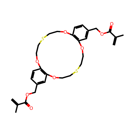 C=C(C)C(=O)OCc1ccc2c(c1)OCCSCCOc1cc(COC(=O)C(=C)C)ccc1OCCSCCO2